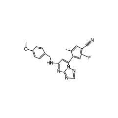 COc1ccc(CNc2cc(-c3cc(F)c(C#N)cc3C)n3ncnc3n2)cc1